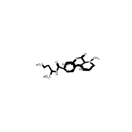 CN1CC2CN(c3ccc(C(=O)NC(CCC(=O)O)C(=O)O)cc3)C13C(=O)N=C(N)N=C3N2